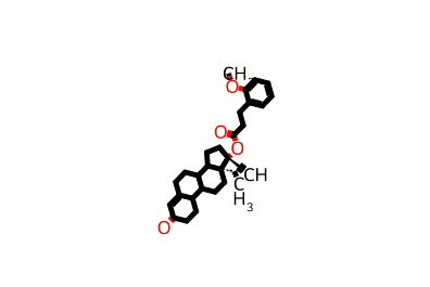 C#C[C@]1(OC(=O)CCc2ccccc2OC)CCC2C3CCC4=CC(=O)CCC4C3CC[C@@]21CC